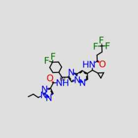 CCCn1ncc(C(=O)N[C@H](c2cn3ncc(C(NC(=O)CCC(F)(F)F)C4CC4)cc3n2)C2CCC(F)(F)CC2)n1